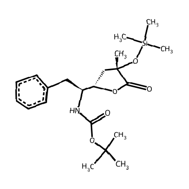 CC(C)(C)OC(=O)N[C@@H](Cc1ccccc1)[C@@H]1C[C@](C)(O[Si](C)(C)C)C(=O)O1